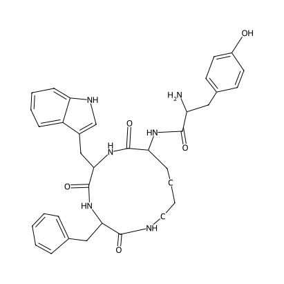 NC(Cc1ccc(O)cc1)C(=O)NC1CCCCNC(=O)C(Cc2ccccc2)NC(=O)C(Cc2c[nH]c3ccccc23)NC1=O